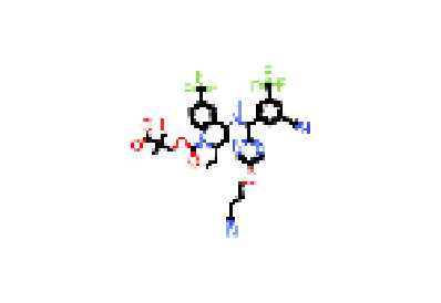 CC[C@@H]1C[C@H](NC(c2cc(C#N)cc(C(F)(F)F)c2)c2ncc(OCCCC#N)cn2)c2cc(C(F)(F)F)ccc2N1C(=O)OCC(C)(C)C(=O)O